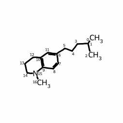 CC(C)CCCc1ccc2c(c1)CCCN2C